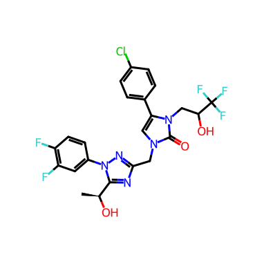 C[C@H](O)c1nc(Cn2cc(-c3ccc(Cl)cc3)n(CC(O)C(F)(F)F)c2=O)nn1-c1ccc(F)c(F)c1